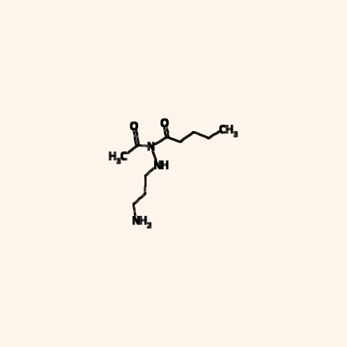 CCCCC(=O)N(NCCCN)C(C)=O